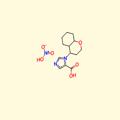 O=C(O)c1cncn1C1CCOC2CCCCC21.O=[N+]([O-])O